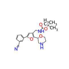 CC(C)(C)OC(=O)NCc1cc(-c2cccc(C#N)c2)oc1C1CNCCO1